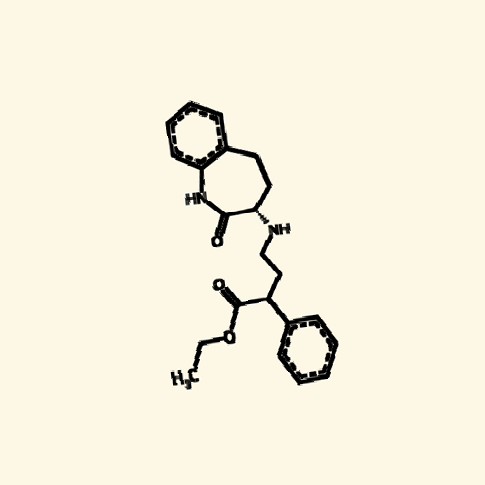 CCOC(=O)C(CCN[C@H]1CCc2ccccc2NC1=O)c1ccccc1